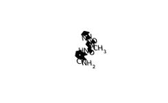 CN1C(=O)N(c2ncccn2)CC1C(=O)NCc1cccc(Cl)c1CN